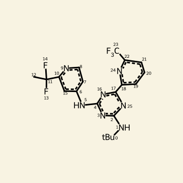 CC(C)(C)Nc1nc(Nc2ccnc(C(C)(F)F)c2)nc(-c2cccc(C(F)(F)F)n2)n1